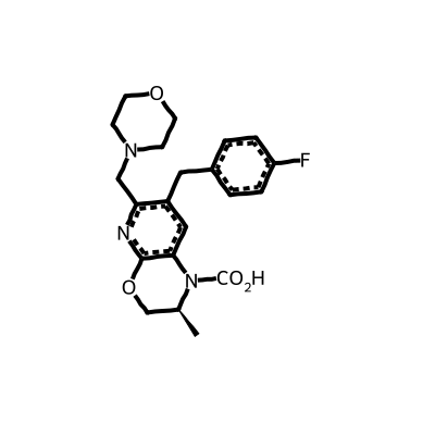 C[C@H]1COc2nc(CN3CCOCC3)c(Cc3ccc(F)cc3)cc2N1C(=O)O